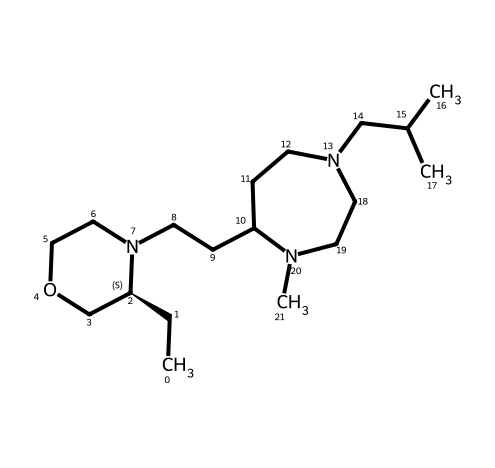 CC[C@H]1COCCN1CCC1CCN(CC(C)C)CCN1C